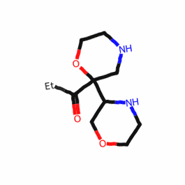 CCC(=O)C1(C2COCCN2)CNCCO1